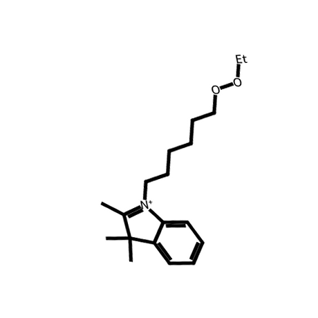 CCOOCCCCCC[N+]1=C(C)C(C)(C)c2ccccc21